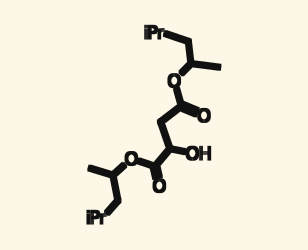 CC(C)CC(C)OC(=O)CC(O)C(=O)OC(C)CC(C)C